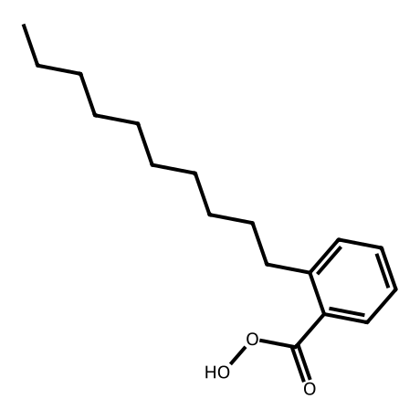 CCCCCCCCCCc1ccccc1C(=O)OO